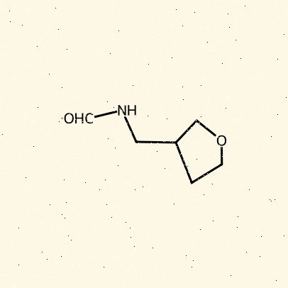 O=[C]NCC1CCOC1